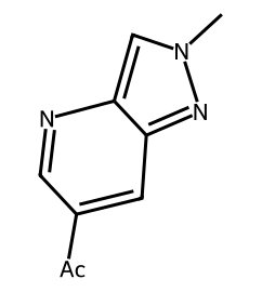 CC(=O)c1cnc2cn(C)nc2c1